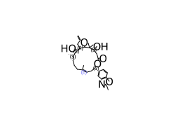 C=CC[C@H]1C(=O)C(C)(C)[C@@H](O)CC(=O)O[C@H](c2ccc3oc(C)nc3c2)C/C=C(\C)CCC[C@H](C)[C@@H]1O